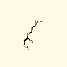 CC(=O)NCCCSC(Cl)=C[N+](=O)[O-]